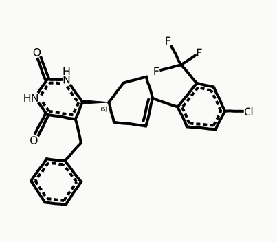 O=c1[nH]c([C@@H]2CC=C(c3ccc(Cl)cc3C(F)(F)F)CC2)c(Cc2ccccc2)c(=O)[nH]1